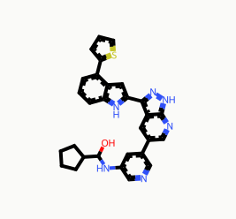 OC(Nc1cncc(-c2cnc3[nH]nc(-c4cc5c(-c6cccs6)cccc5[nH]4)c3c2)c1)C1CCCC1